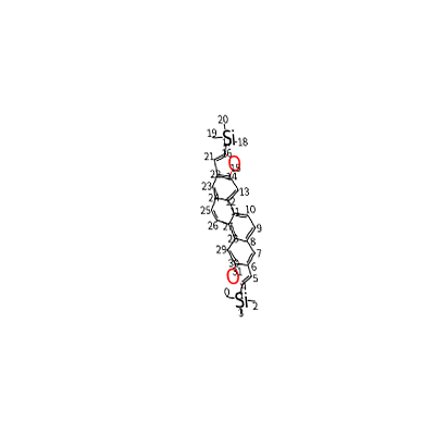 C[Si](C)(C)c1cc2cc3ccc4c5cc6oc([Si](C)(C)C)cc6cc5ccc4c3cc2o1